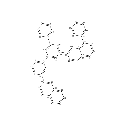 c1ccc(-c2nc(-c3cccc(-c4ccc5ccccc5c4)c3)nc(-c3ccc4cccc(-c5ccccc5)c4c3)n2)cc1